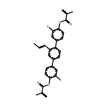 C=C(C)C(=O)Oc1ccc(-c2ccc(-c3ccc(OC(=O)C(=C)C)c(F)c3)c(/C=C/C)c2)cc1F